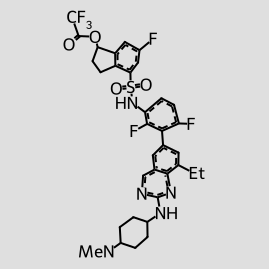 CCc1cc(-c2c(F)ccc(NS(=O)(=O)c3cc(F)cc4c3CCC4OC(=O)C(F)(F)F)c2F)cc2cnc(NC3CCC(NC)CC3)nc12